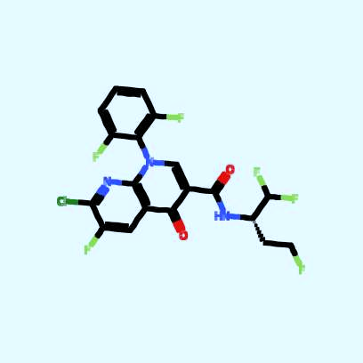 O=C(N[C@@H](CCF)C(F)F)c1cn(-c2c(F)cccc2F)c2nc(Cl)c(F)cc2c1=O